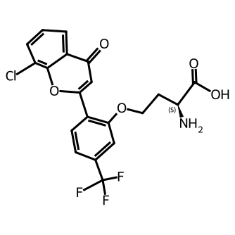 N[C@@H](CCOc1cc(C(F)(F)F)ccc1-c1cc(=O)c2cccc(Cl)c2o1)C(=O)O